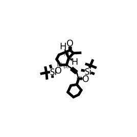 CC1C(=O)[C@H]2CC[C@@H](O[Si](C)(C)C(C)(C)C)[C@H](C#C[C@@H](O[Si](C)(C)C(C)(C)C)C3CCCCC3)[C@@H]12